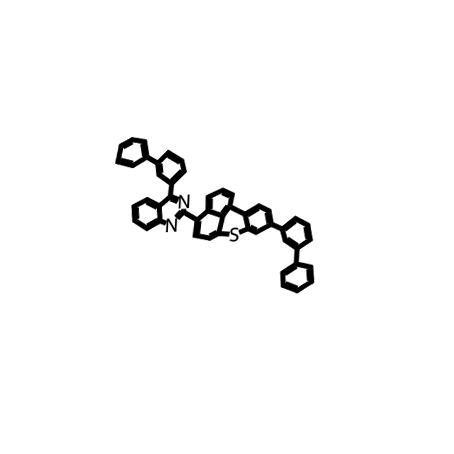 c1ccc(-c2cccc(-c3ccc4c(c3)Sc3ccc(-c5nc(-c6cccc(-c7ccccc7)c6)c6ccccc6n5)c5cccc-4c35)c2)cc1